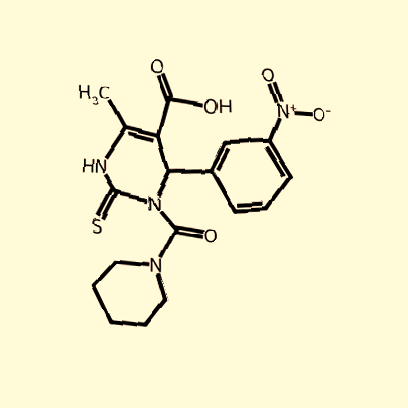 CC1=C(C(=O)O)C(c2cccc([N+](=O)[O-])c2)N(C(=O)N2CCCCC2)C(=S)N1